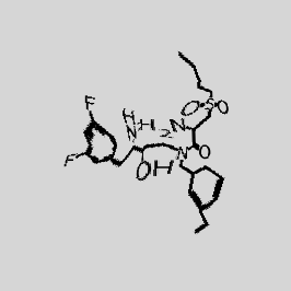 CCCCS(=O)(=O)C[C@H](N)C(=O)N(CC1C=C(CC)C=CC1)C[C@@H](O)[C@@H](N)Cc1cc(F)cc(F)c1